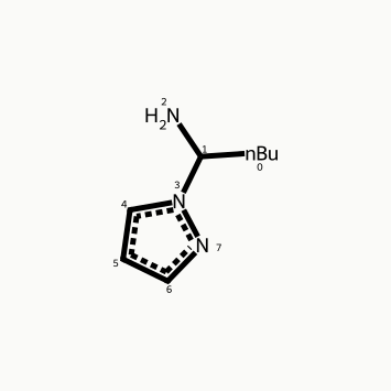 CCCCC(N)n1cccn1